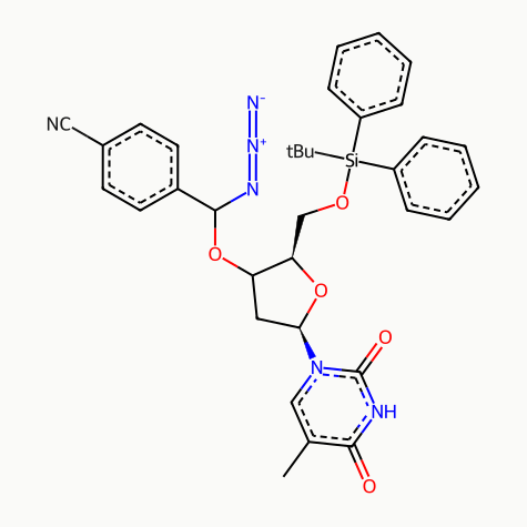 Cc1cn([C@H]2CC(OC(N=[N+]=[N-])c3ccc(C#N)cc3)[C@@H](CO[Si](c3ccccc3)(c3ccccc3)C(C)(C)C)O2)c(=O)[nH]c1=O